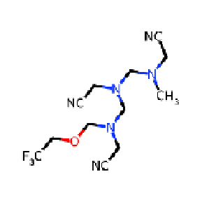 CN(CC#N)CN(CC#N)CN(CC#N)COCC(F)(F)F